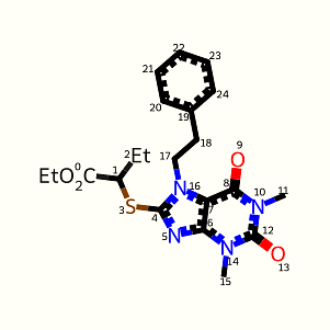 CCOC(=O)C(CC)Sc1nc2c(c(=O)n(C)c(=O)n2C)n1CCc1ccccc1